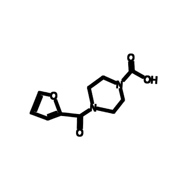 O=C(O)N1CCN(C(=O)c2ccco2)CC1